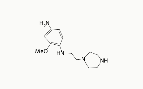 COc1cc(N)ccc1NCCN1CCNCC1